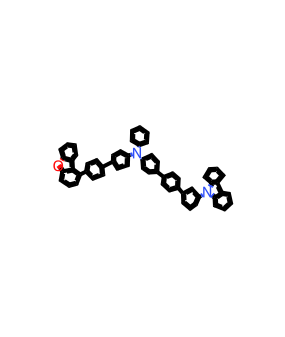 c1ccc(N(c2ccc(-c3ccc(-c4cccc(-n5c6ccccc6c6ccccc65)c4)cc3)cc2)c2ccc(-c3ccc(-c4cccc5oc6ccccc6c45)cc3)cc2)cc1